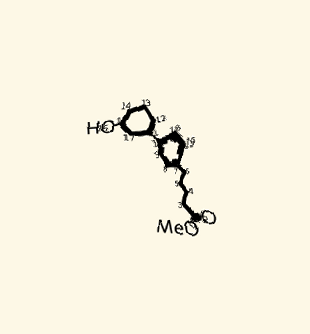 COC(=O)CCCCc1ccc([C@@H]2CCC[C@@H](O)C2)cc1